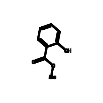 O=C([O][Mo])c1ccccc1O